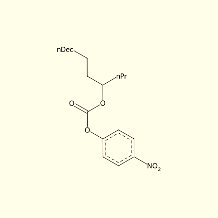 CCCCCCCCCCCCC(CCC)OC(=O)Oc1ccc([N+](=O)[O-])cc1